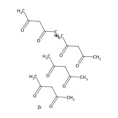 CC(=O)CC(C)=O.CC(=O)CC(C)=O.CC(=O)CC(C)=O.CC(=O)CC(C)=O.[Zr]